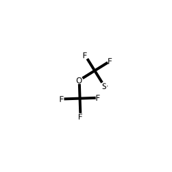 FC(F)(F)OC(F)(F)[S]